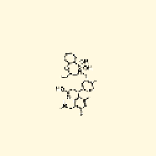 CC[C@@H]1CN(Cc2cc(C(CC(=O)O)c3cc(CN(C)C)c(F)cc3C)ccc2C)S(O)(O)c2ccccc2O1